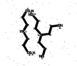 O=C(O)CCNCCC(=O)O.OCCN(CCO)CCO